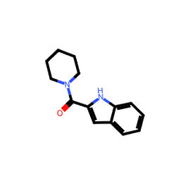 O=C(c1cc2ccccc2[nH]1)N1CCCCC1